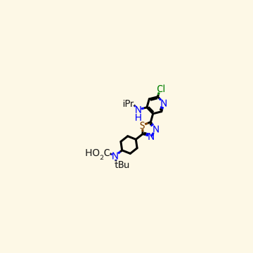 CC(C)Nc1cc(Cl)ncc1-c1nnc(C2CCC(N(C(=O)O)C(C)(C)C)CC2)s1